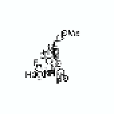 COc1ccc(CCS(=O)(=O)Nc2nn(C)c3c(-n4c([C@H](Cc5cc(F)cc(F)c5)NC(=O)O)nc5nc(OC(C)C)ccc5c4=O)ccc(Cl)c23)cc1